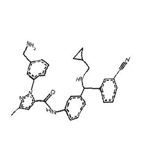 Cc1cc(C(=O)Nc2cccc(C(NCC3CC3)c3cccc(C#N)c3)c2)n(-c2cccc(CN)c2)n1